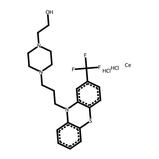 Cl.Cl.OCCN1CCN(CCCN2c3ccccc3Sc3ccc(C(F)(F)F)cc32)CC1.[Ce]